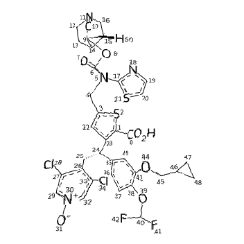 O=C(O)c1sc(CN(C(=O)O[C@H]2CN3CCC2CC3)c2nccs2)cc1[C@@H](Cc1c(Cl)c[n+]([O-])cc1Cl)c1ccc(OC(F)F)c(OCC2CC2)c1